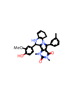 COc1cc(C2NC3=C(CCC=C3)n3c(-c4cccc(C)c4)c4c(=O)n(C)c(=O)n(C)c4c32)ccc1O